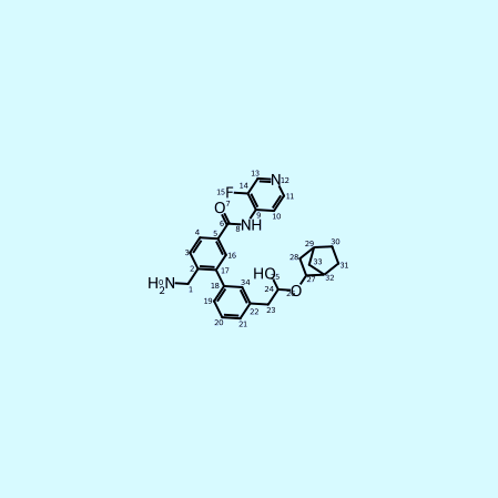 NCc1ccc(C(=O)Nc2ccncc2F)cc1-c1cccc(CC(O)OC2CC3CCC2C3)c1